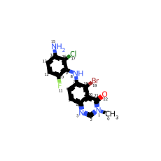 Cn1cnc2ccc(Nc3c(F)ccc(N)c3Cl)c(Br)c2c1=O